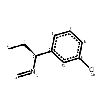 C=N[C@@H](CC)c1cccc(Cl)c1